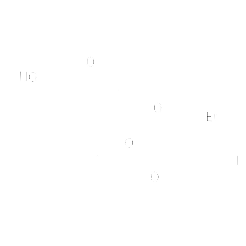 CCC(C)(I)C(=O)Oc1c2c3oc1cc3C(O)O2